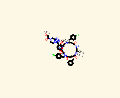 COCC(=O)N1CCn2c(nnc2-c2ccc(Oc3cc(Cl)ccc3CN3C(=O)C[C@@H](Cc4ccccc4)C(=O)N(C)[C@@H](C)CNC(=O)C[C@H](Cc4ccc(Cl)cc4)N(C)C(=O)[C@H](COC)NC(=O)[C@@H]3C)cc2)C1